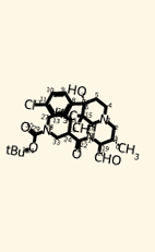 C[C@@H](CN1CC[C@](O)(c2ccc(Cl)cc2)C(C)(C)C1)C(C=O)NC(=O)C1CCCN(C(=O)OC(C)(C)C)C1